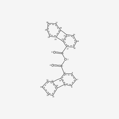 O=C(OC(=O)c1cccc2c1-c1ccccc1-2)c1cccc2c1-c1ccccc1-2